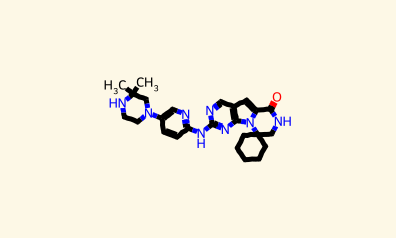 CC1(C)CN(c2ccc(Nc3ncc4cc5n(c4n3)C3(CCCCC3)CNC5=O)nc2)CCN1